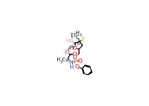 CCB[C@@H]1OC(COP(=O)(N[C@H](C)C(=O)OC(C)C)Oc2ccccc2)C[C@@]1(C)F